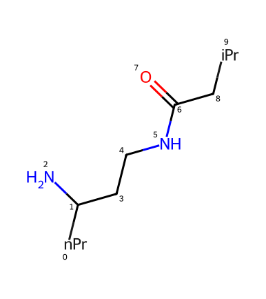 CCCC(N)CCNC(=O)CC(C)C